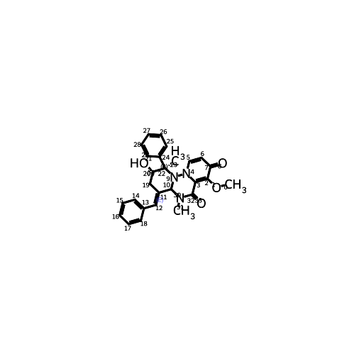 COc1c2n(ccc1=O)N1C(/C(=C/c3ccccc3)C[C@@H](O)[C@@]1(C)c1ccccc1)N(C)C2=O